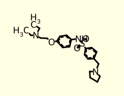 CCN(CC)CCOc1ccc(NS(=O)(=O)c2ccc(CN3CCCC3)cc2)cc1